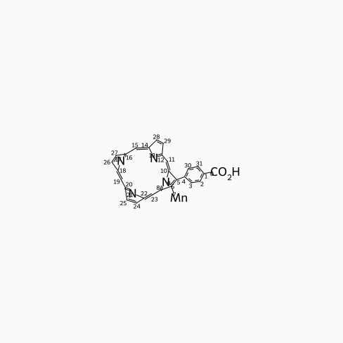 O=C(O)c1ccc(C2=[C]([Mn])C3=NC2=CC2=NC(=CC4=NC(=CC5=NC(=C3)C=C5)C=C4)C=C2)cc1